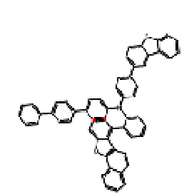 c1ccc(-c2ccc(-c3ccc(N(c4ccc(-c5ccc6sc7ccccc7c6c5)cc4)c4ccccc4-c4cccc5oc6c7ccccc7ccc6c45)cc3)cc2)cc1